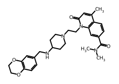 Cc1cc(=O)n(CCN2CCC(NCc3ccc4c(c3)OCCO4)CC2)c2cc(C(=O)N(C)C)ccc12